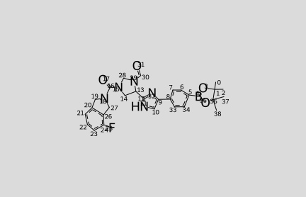 CC1(C)OB(c2ccc(-c3c[nH]c(C4CN(C(=O)N5Cc6cccc(F)c6C5)CN4C=O)n3)cc2)OC1(C)C